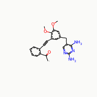 [CH2]C(=O)c1ccccc1C#Cc1cc(Cc2cnc(N)nc2N)cc(OC)c1OC